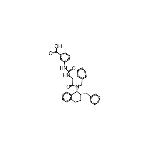 O=C(NCC(=O)N(Cc1ccccc1)[C@@H]1c2ccccc2CC[C@H]1Cc1ccccc1)Nc1cccc(C(=O)O)c1